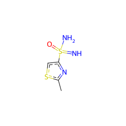 Cc1nc(S(=N)(N)=O)cs1